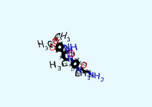 COc1cc2c(cc1OC)C(=CC(C)Nc1ccc(N(C)C(=O)CCN)cc1)C(=O)N2